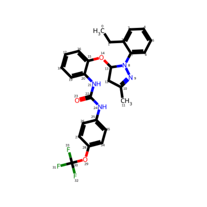 CCc1ccccc1N1N=C(C)CC1Oc1ccccc1NC(=O)Nc1ccc(OC(F)(F)F)cc1